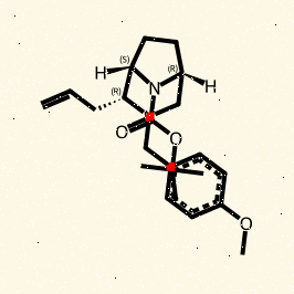 C=CC[C@@H]1[C@@H]2CC[C@H](CN1Cc1ccc(OC)cc1)N2C(=O)OC(C)(C)C